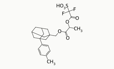 Cc1ccc(C23CC4CC(CC(COC(=O)C(C)OC(=O)C(F)(F)S(=O)(=O)O)(C4)C2)C3)cc1